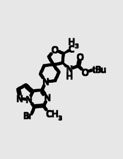 Cc1nc(N2CCC3(CC2)CO[C@@H](C)[C@H]3NC(=O)OC(C)(C)C)c2ccnn2c1Br